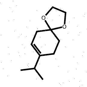 CC(C)C1=CCC2(CC1)OCCO2